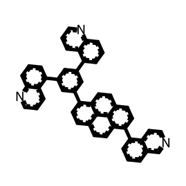 c1cc(-c2ccc3ccc4c(-c5cc(-c6cccc7ncccc67)cc(-c6cccc7ncccc67)c5)ccc5ccc2c3c54)c2ccncc2c1